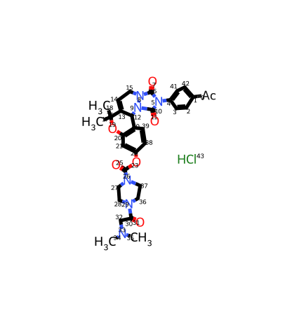 CC(=O)c1ccc(-n2c(=O)n3n(c2=O)C2C(=CC3)C(C)(C)Oc3cc(OC(=O)N4CCN(C(=O)CN(C)C)CC4)ccc32)cc1.Cl